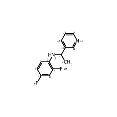 CC(Nc1ccc(F)cc1F)c1cccnc1